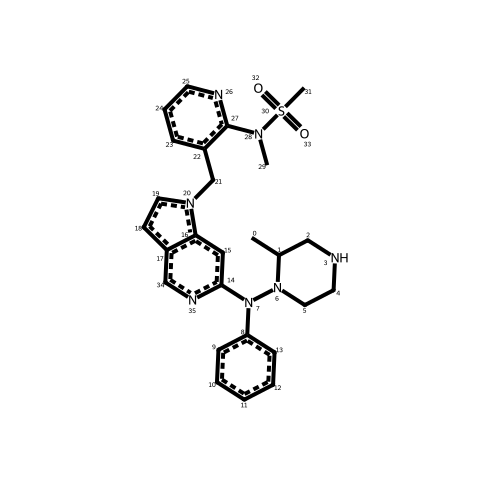 CC1CNCCN1N(c1ccccc1)c1cc2c(ccn2Cc2cccnc2N(C)S(C)(=O)=O)cn1